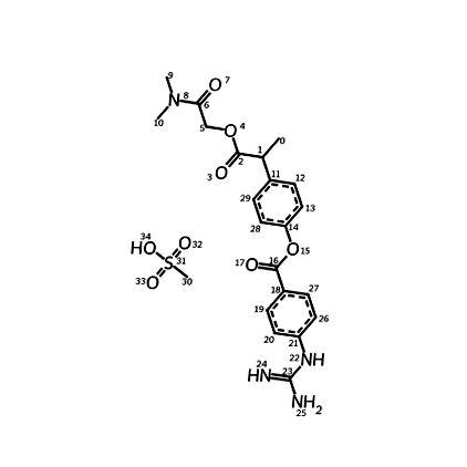 CC(C(=O)OCC(=O)N(C)C)c1ccc(OC(=O)c2ccc(NC(=N)N)cc2)cc1.CS(=O)(=O)O